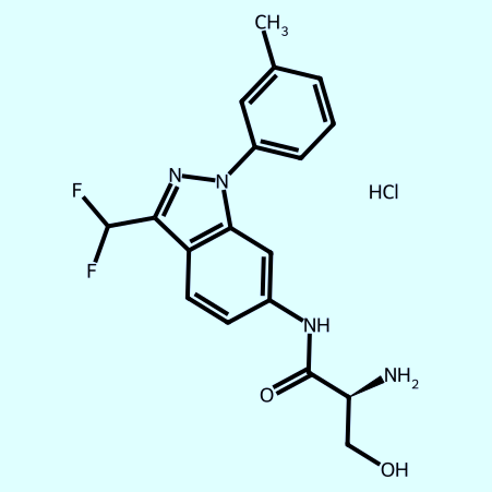 Cc1cccc(-n2nc(C(F)F)c3ccc(NC(=O)[C@@H](N)CO)cc32)c1.Cl